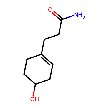 NC(=O)CCC1=CCC(O)CC1